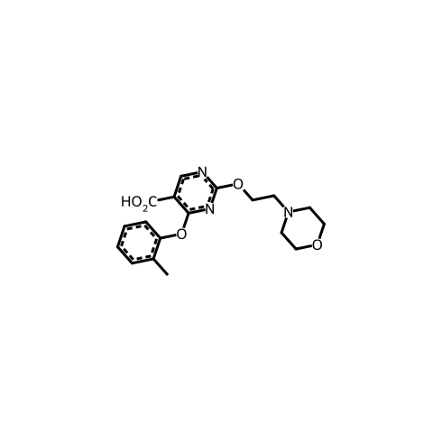 Cc1ccccc1Oc1nc(OCCN2CCOCC2)ncc1C(=O)O